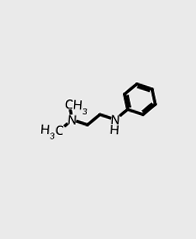 CN(C)CCNc1ccccc1